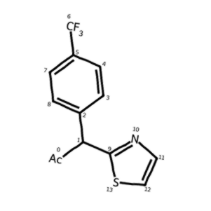 CC(=O)C(c1ccc(C(F)(F)F)cc1)c1nccs1